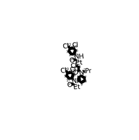 CC(C)N(C(=O)CCl)c1ccccc1.CCC(=O)Nc1ccc(Cl)c(Cl)c1.CCC(=O)Nc1ccc(Cl)c(Cl)c1